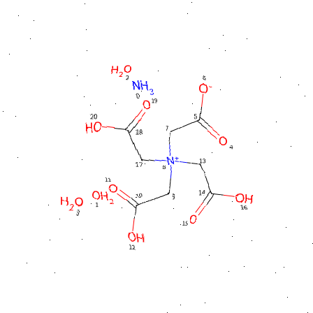 N.O.O.O.O=C([O-])C[N+](CC(=O)O)(CC(=O)O)CC(=O)O